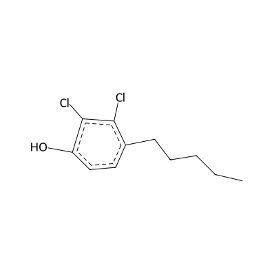 CCCCCc1ccc(O)c(Cl)c1Cl